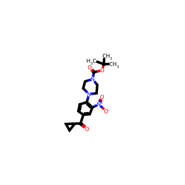 CC(C)(C)OC(=O)N1CCN(c2ccc(C(=O)C3CC3)cc2[N+](=O)[O-])CC1